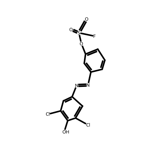 O=S(=O)(F)Oc1cccc(/N=N/c2cc(Cl)c(O)c(Cl)c2)c1